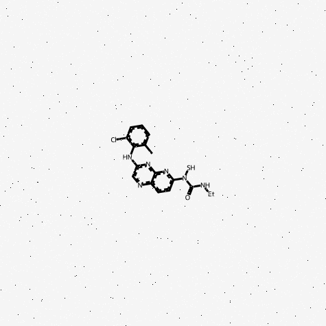 CCNC(=O)N(S)c1ccc2ncc(Nc3c(C)cccc3Cl)nc2n1